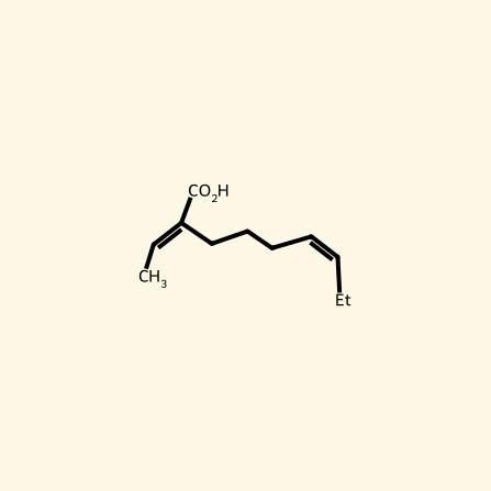 C/C=C(\CCC/C=C\CC)C(=O)O